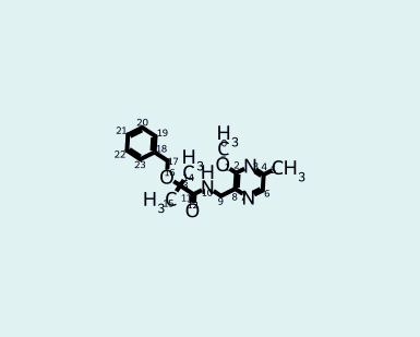 COc1nc(C)cnc1CNC(=O)C(C)(C)OCc1ccccc1